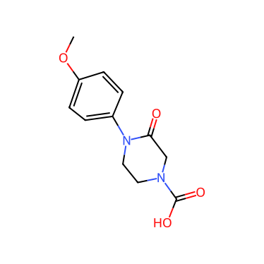 COc1ccc(N2CCN(C(=O)O)CC2=O)cc1